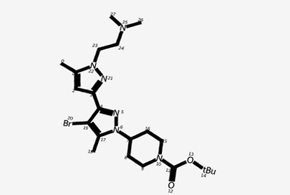 Cc1cc(-c2nn(C3CCN(C(=O)OC(C)(C)C)CC3)c(C)c2Br)nn1CCN(C)C